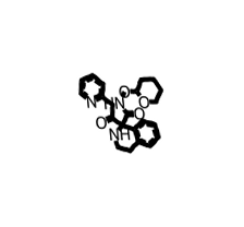 O=C(Cc1ccccn1)C1(C(=O)NOC2CCCCO2)NCCc2ccccc21